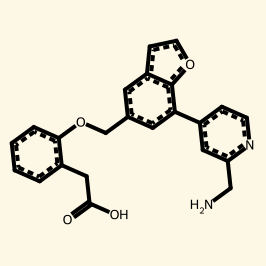 NCc1cc(-c2cc(COc3ccccc3CC(=O)O)cc3ccoc23)ccn1